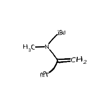 C=C(CCC)N(C)C(C)CC